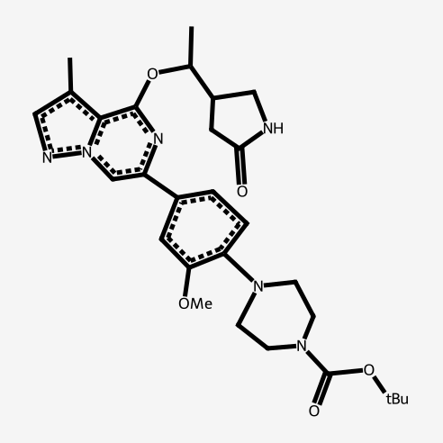 COc1cc(-c2cn3ncc(C)c3c(OC(C)C3CNC(=O)C3)n2)ccc1N1CCN(C(=O)OC(C)(C)C)CC1